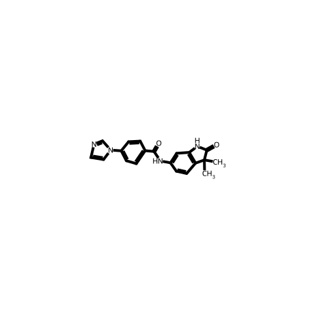 CC1(C)C(=O)Nc2cc(NC(=O)c3ccc(-n4ccnc4)cc3)ccc21